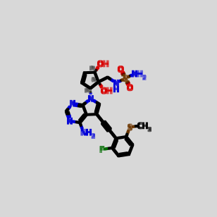 CSc1cccc(F)c1C#Cc1cn([C@@H]2C=C[C@@H](O)[C@]2(O)CNS(N)(=O)=O)c2ncnc(N)c12